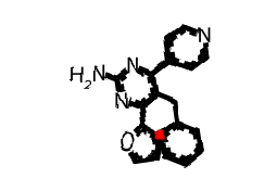 Nc1nc(-c2ccncc2)c(Cc2ccccc2)c(-c2ccco2)n1